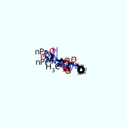 CCCn1c(=O)c2[nH]c(-c3cc(OC(C(=O)NCc4ccccc4)C4=COCO4)nn3C)nc2n(CCC)c1=O